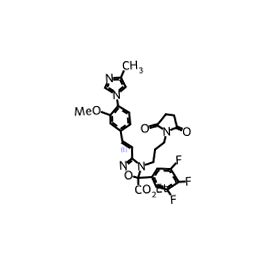 CCOC(=O)C1(c2cc(F)c(F)c(F)c2)ON=C(/C=C/c2ccc(-n3cnc(C)c3)c(OC)c2)N1CCCN1C(=O)CCC1=O